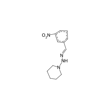 O=[N+]([O-])c1cccc(C=NNN2CCCCC2)c1